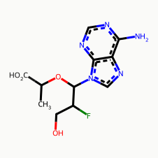 CC(OC(C(F)CO)n1cnc2c(N)ncnc21)C(=O)O